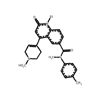 CCn1c(=O)cc(C2=CCN(C(=O)O)CC2)c2cc(C(=O)N(C)c3ccc(C)cc3)ccc21